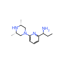 CC[C@H](N)c1cccc(N2C[C@@H](C)N[C@@H](C)C2)n1